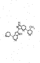 Cc1ccncc1-c1ccc2[nH]nc(-c3cc4c(-c5cccnc5)cncc4[nH]3)c2n1